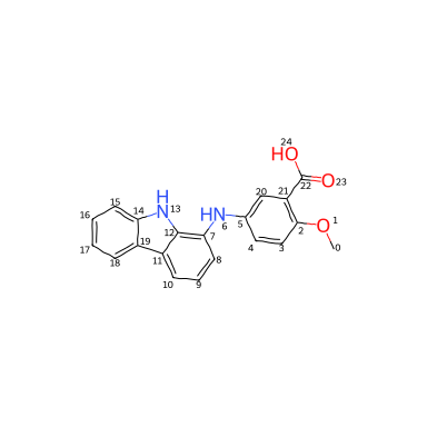 COc1ccc(Nc2cccc3c2[nH]c2ccccc23)cc1C(=O)O